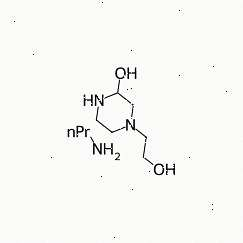 CCCN.OCCN1CCNC(O)C1